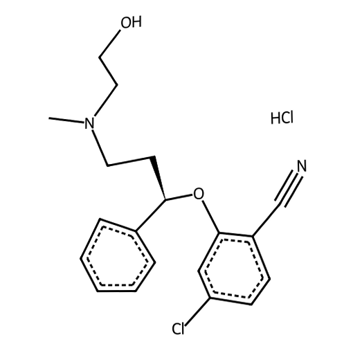 CN(CCO)CC[C@@H](Oc1cc(Cl)ccc1C#N)c1ccccc1.Cl